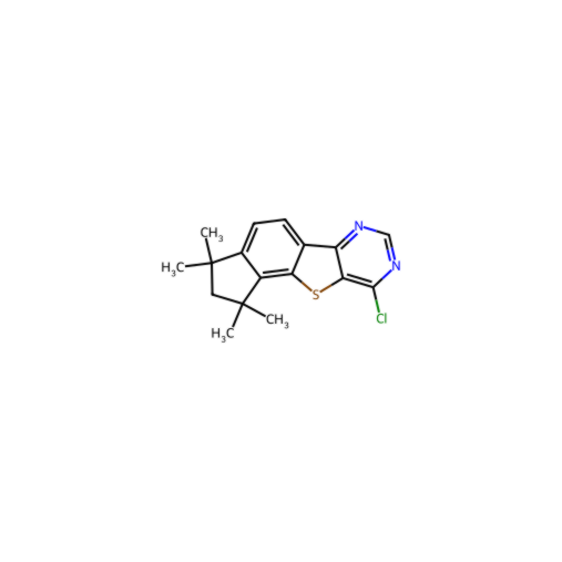 CC1(C)CC(C)(C)c2c1ccc1c2sc2c(Cl)ncnc21